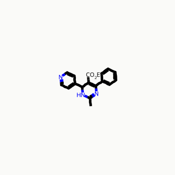 CCOC(=O)C1=C(c2ccccc2)N=C(C)NC1c1ccncc1